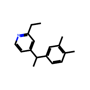 CCc1cc(C(C)c2ccc(C)c(C)c2)ccn1